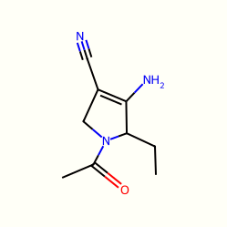 CCC1C(N)=C(C#N)CN1C(C)=O